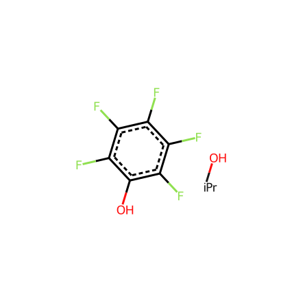 CC(C)O.Oc1c(F)c(F)c(F)c(F)c1F